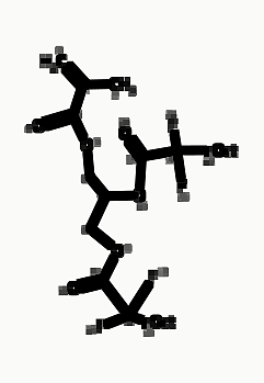 C=C(C)C(=O)OCC(COC(=O)C(F)(F)CCCCCCCC)OC(=O)C(F)(F)CCCCCCCC